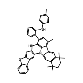 Cc1ccc(Nc2ccccc2-c2cc(C)c3c4cc5c(cc4n4c3c2Bc2cc3sc6ccccc6c3cc2-4)C(C)(C)CCC5(C)C)cc1